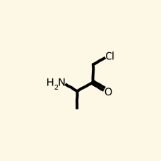 CC(N)C(=O)CCl